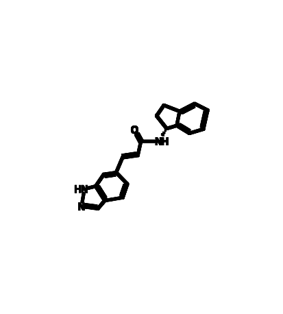 O=C(C=Cc1ccc2cn[nH]c2c1)N[C@@H]1CCc2ccccc21